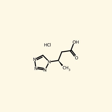 C[C@H](CC(=O)O)n1cnnn1.Cl